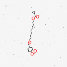 O=C(OCCCCCCCCCCOCc1ccc2c(c1)OCO2)C1CC1